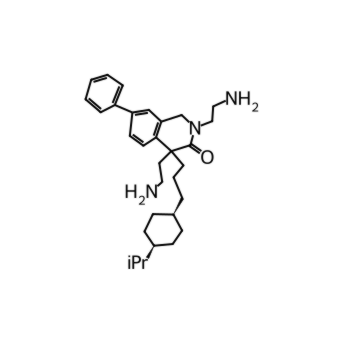 CC(C)[C@H]1CC[C@@H](CCCC2(CCN)C(=O)N(CCN)Cc3cc(-c4ccccc4)ccc32)CC1